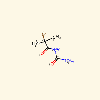 CC(C)(Br)C(=O)NC(N)=O